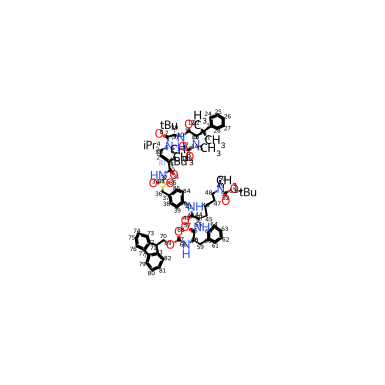 C/C(=C\[C@H](C(C)C)N(C)C(=O)[C@@H](NC(=O)[C@@H](N(C)C(=O)OC(C)(C)C)C(C)(C)c1ccccc1)C(C)(C)C)C(=O)NS(=O)(=O)Cc1ccc(NC(=O)[C@@H](CCCCN(C)C(=O)OC(C)(C)C)NC(=O)[C@@H](Cc2ccccc2)NC(=O)OCC2c3ccccc3-c3ccccc32)cc1